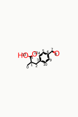 CC(Cc1ccc(C=O)cc1)C(=O)O